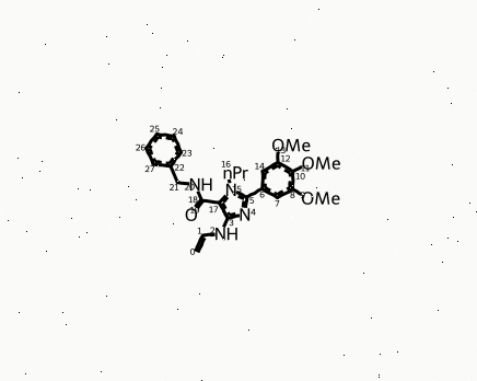 C=CNc1nc(-c2cc(OC)c(OC)c(OC)c2)n(CCC)c1C(=O)NCc1ccccc1